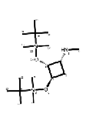 CN[C@@H]1C[C@@H](O[Si](C)(C)C(C)(C)C)[C@@H]1O[Si](C)(C)C(C)(C)C